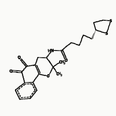 CC1(C)OC2=C(CC1NC(=O)CCCC[C@@H]1CCSS1)C(=O)C(=O)c1ccccc12